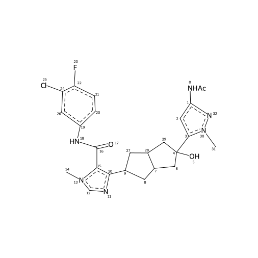 CC(=O)Nc1cc(C2(O)CC3CC(c4ncn(C)c4C(=O)Nc4ccc(F)c(Cl)c4)CC3C2)n(C)n1